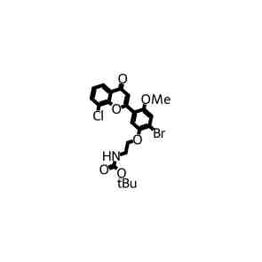 COc1cc(Br)c(OCCNC(=O)OC(C)(C)C)cc1-c1cc(=O)c2cccc(Cl)c2o1